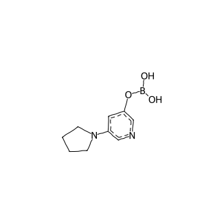 OB(O)Oc1cncc(N2CCCC2)c1